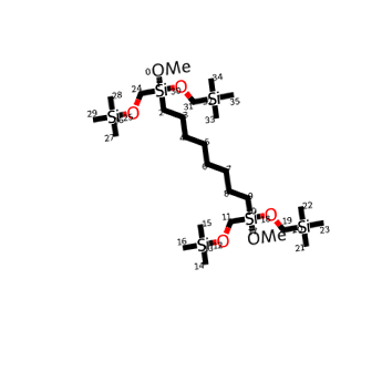 CO[Si](CCCCCCCC[Si](CO[Si](C)(C)C)(OC)OC[Si](C)(C)C)(CO[Si](C)(C)C)OC[Si](C)(C)C